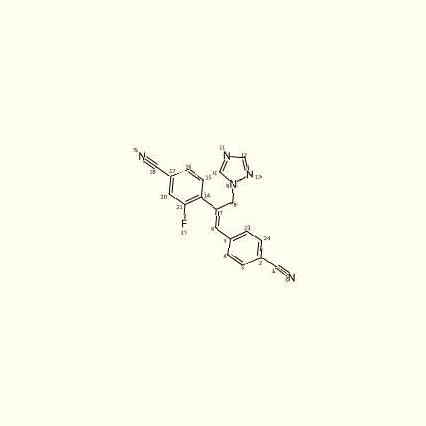 N#Cc1ccc(C=C(Cn2cncn2)c2ccc(C#N)cc2F)cc1